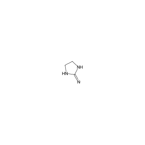 [N]=C1NCCN1